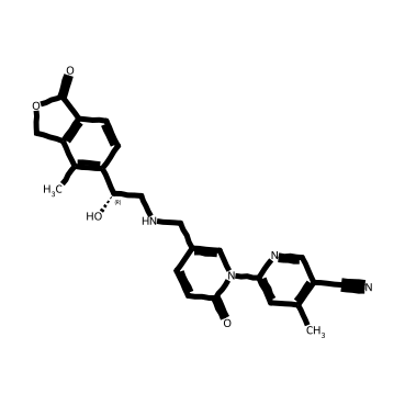 Cc1cc(-n2cc(CNC[C@H](O)c3ccc4c(c3C)COC4=O)ccc2=O)ncc1C#N